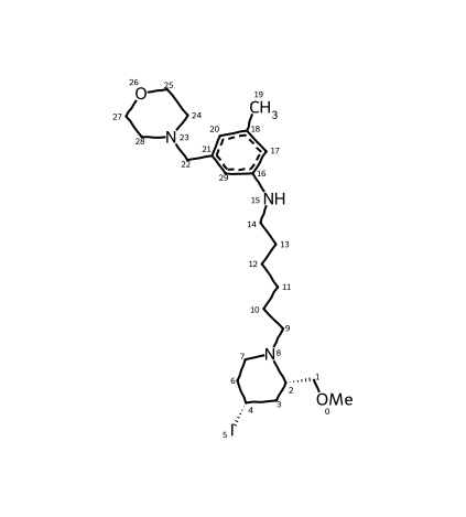 COC[C@@H]1C[C@H](I)CCN1CCCCCCNc1cc(C)cc(CN2CCOCC2)c1